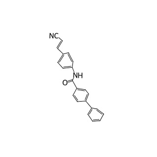 N#CC=Cc1ccc(NC(=O)c2ccc(-c3ccccc3)cc2)cc1